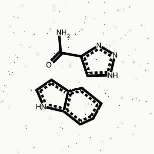 NC(=O)c1c[nH]nn1.c1ccc2[nH]ccc2c1